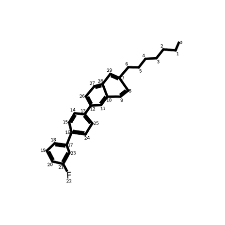 CCCCCCCc1ccc2cc(-c3ccc(-c4cccc(F)c4)cc3)ccc2c1